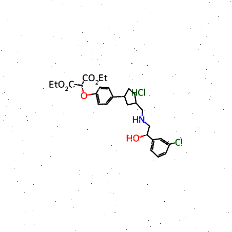 CCOC(=O)C(Oc1ccc(C2CCC(CNC[C@H](O)c3cccc(Cl)c3)C2)cc1)C(=O)OCC.Cl